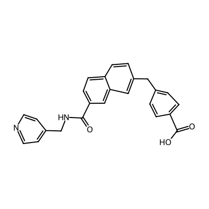 O=C(O)c1ccc(Cc2ccc3ccc(C(=O)NCc4ccncc4)cc3c2)cc1